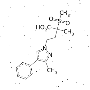 Cc1nn(CCC(C)(C(=O)O)S(C)(=O)=O)cc1-c1ccccc1